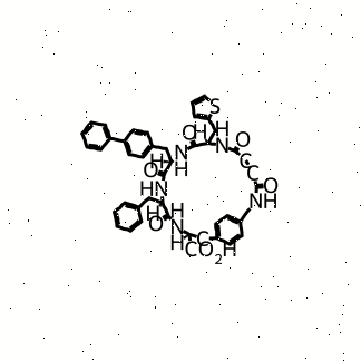 O=C1CCC(=O)N[C@H](Cc2cccs2)C(=O)N[C@@H](Cc2ccc(-c3ccccc3)cc2)C(=O)N[C@@H](Cc2ccccc2)C(=O)N[C@@H](C(=O)O)Cc2ccc(cc2)N1